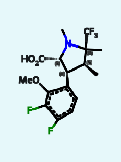 COc1c([C@H]2[C@H](C(=O)O)N(C)[C@@](C)(C(F)(F)F)[C@H]2C)ccc(F)c1F